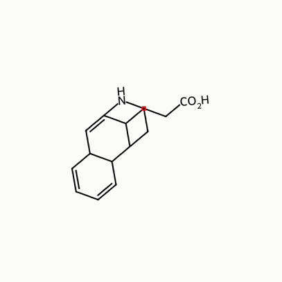 O=C(O)CCC1C2=CC3C=CC=CC3C1CCN2